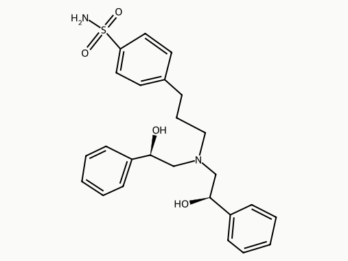 NS(=O)(=O)c1ccc(CCCN(C[C@H](O)c2ccccc2)C[C@H](O)c2ccccc2)cc1